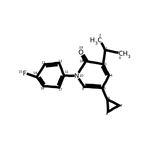 CC(C)c1cc(C2CC2)cn(-c2ccc(F)cc2)c1=O